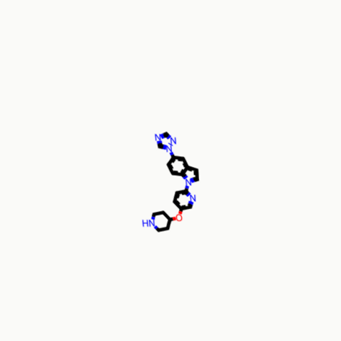 c1ncn(-c2ccc3c(ccn3-c3ccc(OC4CCNCC4)cn3)c2)n1